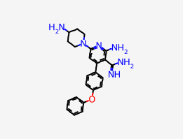 N=C(N)c1c(-c2ccc(Oc3ccccc3)cc2)cc(N2CCC(N)CC2)nc1N